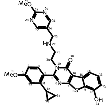 COc1ccc(-c2nc3sc4c(O)cccc4c3c(=O)n2CCNCc2cnc(OC)nc2)c(C2CC2)c1